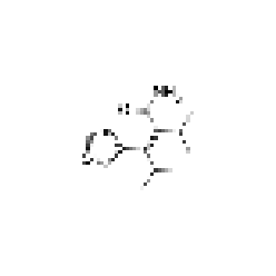 CC(C)C(C(N)=O)=C(c1ccsc1)C(C)C